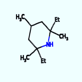 CCC1(C)CC(C)CC(C)(CC)N1